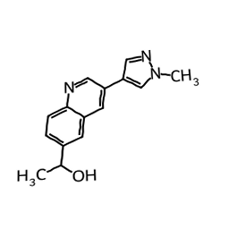 CC(O)c1ccc2ncc(-c3cnn(C)c3)cc2c1